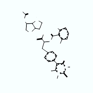 CC(=O)OC1CO[C@@H]2[C@@H](OC(=O)C(Cc3ccc(-c4c(C)n(C)c(=O)n(C)c4=O)cc3)NC(=O)c3c(C)cccc3Cl)CO[C@H]12